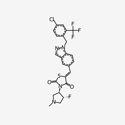 CN1C[C@@H](F)[C@H](N2C(=O)SC(=Cc3ccc4c(cnn4Cc4ccc(Cl)cc4C(F)(F)F)c3)C2=O)C1